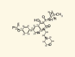 C[C@@H]1C2CC1(NC(=O)c1c(O)c3cc(-c4ccc(OC(F)F)cc4)cnc3n(CCN3CCOCC3)c1=O)C2